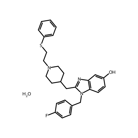 O.Oc1ccc2c(c1)nc(CC1CCN(CCSc3ccccc3)CC1)n2Cc1ccc(F)cc1